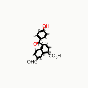 O=Cc1ccc2c(C(=O)c3ccc(O)cc3)ccc(C(=O)O)c2c1